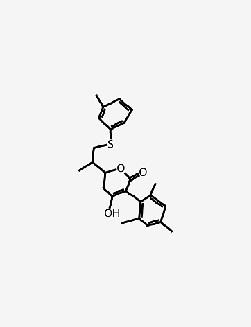 Cc1cccc(SCC(C)C2CC(O)=C(c3c(C)cc(C)cc3C)C(=O)O2)c1